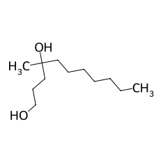 CCCCCCCC(C)(O)CCCO